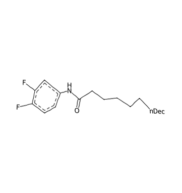 CCCCCCCCCCCCCCCC(=O)Nc1ccc(F)c(F)c1